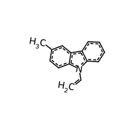 C=Cn1c2ccccc2c2cc(C)ccc21